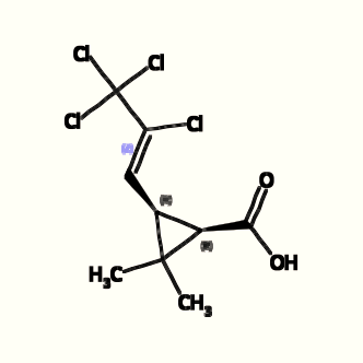 CC1(C)[C@H](C(=O)O)[C@@H]1/C=C(\Cl)C(Cl)(Cl)Cl